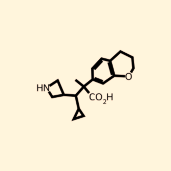 CC(C(=O)O)(c1ccc2c(c1)OCCC2)C(C1CC1)C1CNC1